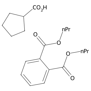 CCCOC(=O)c1ccccc1C(=O)OCCC.O=C(O)C1CCCC1